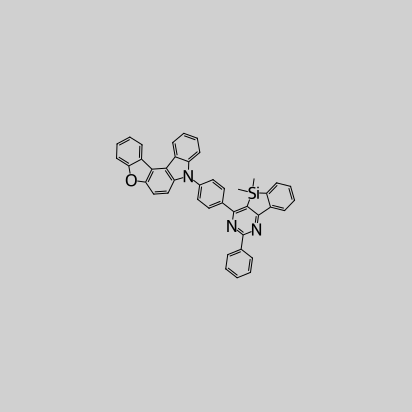 C[Si]1(C)c2ccccc2-c2nc(-c3ccccc3)nc(-c3ccc(-n4c5ccccc5c5c6c(ccc54)oc4ccccc46)cc3)c21